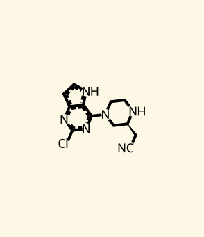 N#CC[C@H]1CN(c2nc(Cl)nc3cc[nH]c23)CCN1